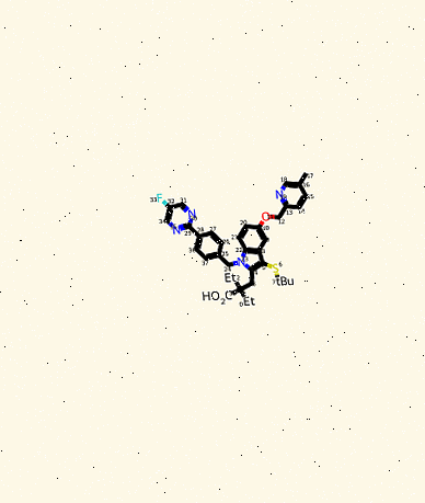 CCC(CC)(Cc1c(SC(C)(C)C)c2cc(OCc3ccc(C)cn3)ccc2n1Cc1ccc(-c2ncc(F)cn2)cc1)C(=O)O